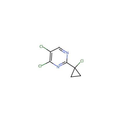 Clc1[c]nc(C2(Cl)CC2)nc1Cl